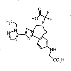 O=C(O)C(F)(F)F.O=C(O)CNc1ccc2c(c1)OCCn1cc(-c3ncnn3CC(F)(F)F)nc1-2